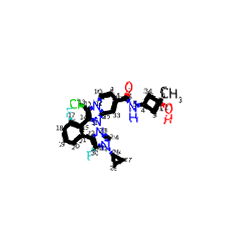 CC1(O)CC(NC(=O)c2ccn3c(Cl)c(-c4c(F)cccc4-c4ncn(C5CC5)c4F)nc3c2)C1